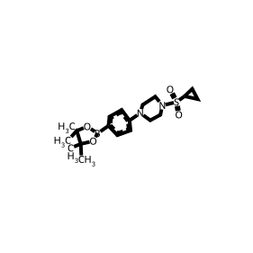 CC1(C)OB(c2ccc(N3CCN(S(=O)(=O)C4CC4)CC3)cc2)OC1(C)C